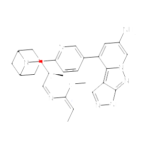 C/C=C(\N=C/[C@H](C)CN1C2CC1CN(c1ccc(-c3cc(N)cn4nc5[nH]ncc5c34)cn1)C2)OC